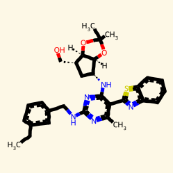 CCc1cccc(CNc2nc(C)c(-c3nc4ccccc4s3)c(N[C@@H]3C[C@H](CO)[C@H]4OC(C)(C)O[C@H]43)n2)c1